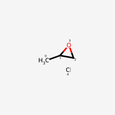 CC1CO1.[C]